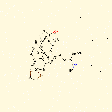 C=C/C(=C\C=C(/C)[C@H]1C[C@]2(C)C(O)CC[C@H]2[C@@H]2CCC3=CC4(CC[C@@H]3[C@H]21)SCCS4)NC(C)C